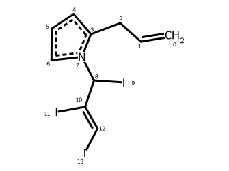 C=CCc1cccn1C(I)C(I)=CI